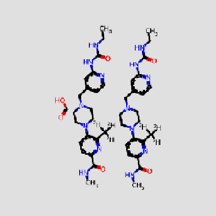 O=CO.[2H]C([2H])([2H])c1nc(C(=O)NC)ccc1N1CCN(Cc2ccnc(NC(=O)NCC)c2)CC1.[2H]C([2H])([2H])c1nc(C(=O)NC)ccc1N1CCN(Cc2ccnc(NC(=O)NCC)c2)CC1